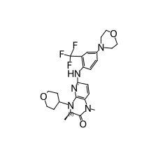 C[C@@H]1C(=O)N(C)c2ccc(Nc3ccc(N4CCOCC4)cc3C(F)(F)F)nc2N1C1CCOCC1